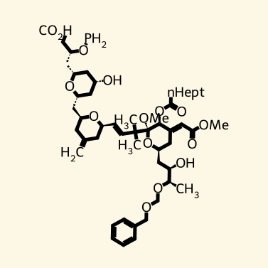 C=C1C[C@@H](C[C@H]2C[C@@H](O)C[C@@H](C[C@H](CC(=O)O)OP)O2)O[C@@H](/C=C/C(C)(C)[C@]2(OC)O[C@H](C[C@@H](O)[C@@H](C)OCOCc3ccccc3)C/C(=C\C(=O)OC)[C@@H]2OC(=O)CCCCCCC)C1